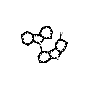 Clc1ccc2oc3cccc(-n4c5ccccc5c5ccccc54)c3c2c1